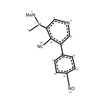 CNN(C)c1cncc(-c2ccc(N=O)cc2)c1C#N